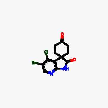 O=C1CCC2(CC1)C(=O)Nc1ncc(Br)c(Cl)c12